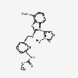 COc1cccc2c1nc(OCc1cccc(NC(=O)OC(C)(C)C)n1)n2-c1nnnn1C